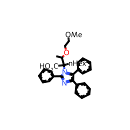 CCCCCCC(C(=O)O)(C(C)OCCOC)n1c(-c2ccccc2)nc(-c2ccccc2)c1-c1ccccc1